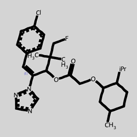 CC1CCC(C(C)C)C(OCC(=O)OC(/C(=C\c2ccc(Cl)cc2)n2cncn2)C(C)(C)CF)C1